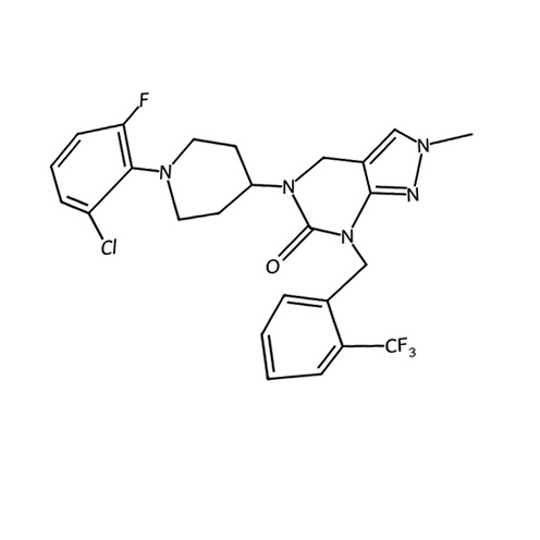 Cn1cc2c(n1)N(Cc1ccccc1C(F)(F)F)C(=O)N(C1CCN(c3c(F)cccc3Cl)CC1)C2